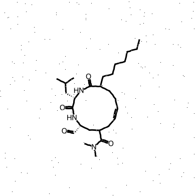 CCCCCCCC1CC/C=C\CC(C(=O)N(C)C)C[C@H](C=O)NC(=O)[C@H](CC(C)C)NC1=O